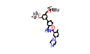 Cc1ccc(N2CCN(C)CC2)cc1C(=O)N[C@H](C)c1cccc(-c2cc(CO[Si](C)(C)C(C)(C)C)cc(CO[Si](C)(C)C(C)(C)C)c2)c1